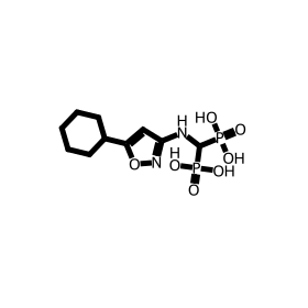 O=P(O)(O)C(Nc1cc(C2CCCCC2)on1)P(=O)(O)O